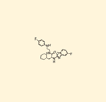 O=C(NCCNc1ccc(F)cc1)[C@H](CC1CCCCC1)Nc1nc2cc(F)ccc2o1